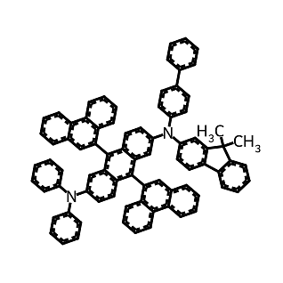 CC1(C)c2ccccc2-c2ccc(N(c3ccc(-c4ccccc4)cc3)c3ccc4c(-c5cc6ccccc6c6ccccc56)c5cc(N(c6ccccc6)c6ccccc6)ccc5c(-c5cc6ccccc6c6ccccc56)c4c3)cc21